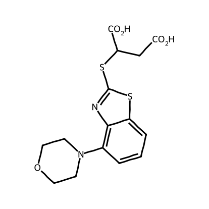 O=C(O)CC(Sc1nc2c(N3CCOCC3)cccc2s1)C(=O)O